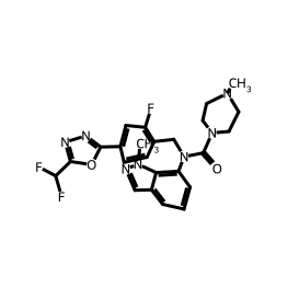 CN1CCN(C(=O)N(Cc2ccc(-c3nnc(C(F)F)o3)cc2F)c2cccc3cnn(C)c23)CC1